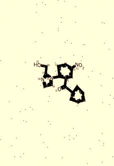 O=C(c1ccccc1)c1cc([N+](=O)[O-])ccc1-n1ccnc1CO